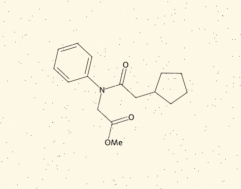 COC(=O)CN(C(=O)CC1CCCC1)c1ccccc1